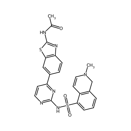 CC(=O)Nc1nc2ccc(-c3ccnc(NS(=O)(=O)c4cccc5c4C=CN(C)C5)n3)cc2s1